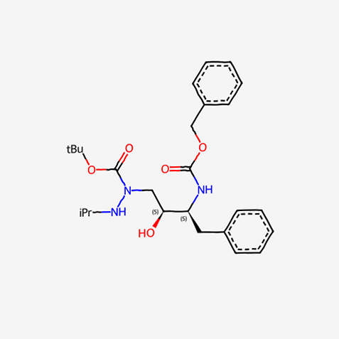 CC(C)NN(C[C@H](O)[C@H](Cc1ccccc1)NC(=O)OCc1ccccc1)C(=O)OC(C)(C)C